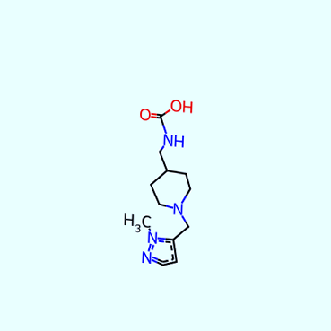 Cn1nccc1CN1CCC(CNC(=O)O)CC1